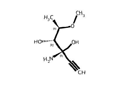 C#C[C@@](N)(O)[C@H](O)[C@@H](C)OC